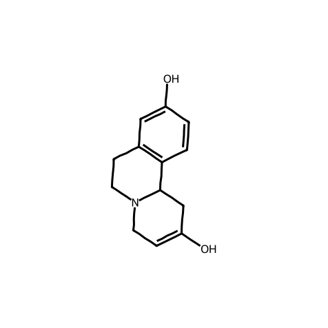 OC1=CCN2CCc3cc(O)ccc3C2C1